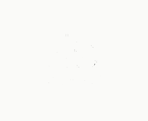 Cc1cnc(N[C@H]2CCC[C@@H]2NC(=O)c2ccccc2C(F)F)cn1